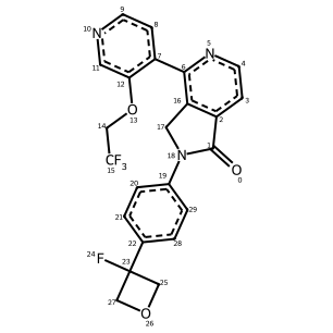 O=C1c2ccnc(-c3ccncc3OCC(F)(F)F)c2CN1c1ccc(C2(F)COC2)cc1